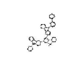 CC1(C)c2ccccc2-c2c(-c3ccc4c(c3)c3ccccc3n4-c3cccc(-c4ccccc4)c3)cc(-c3ccc4c(c3)c3ccccc3n4-c3ccccc3)cc21